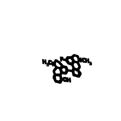 CN1CCc2cc(-c3cccc4c3-c3cc(F)cc5c3C(C4)N(C)CC5)cc3c2C1Cc1cccc(O)c1-3